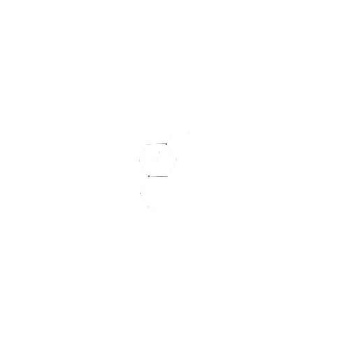 CC(C)CC12CCC(C(=O)O)(CC1)CC2